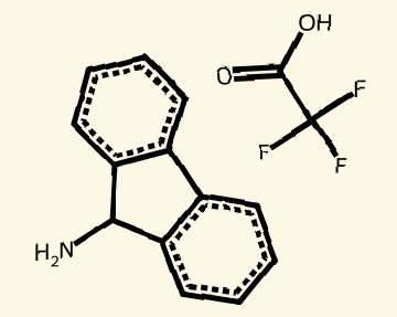 NC1c2ccccc2-c2ccccc21.O=C(O)C(F)(F)F